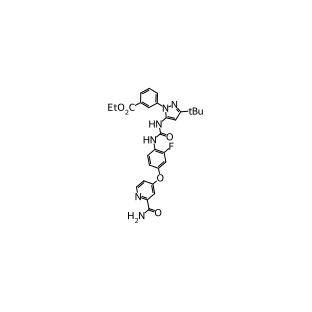 CCOC(=O)c1cccc(-n2nc(C(C)(C)C)cc2NC(=O)Nc2ccc(Oc3ccnc(C(N)=O)c3)cc2F)c1